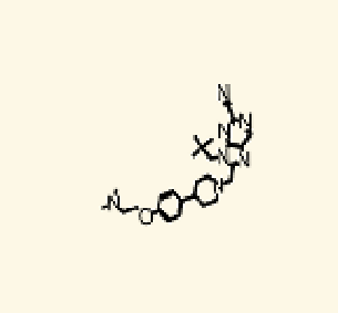 CN(C)CCOc1ccc(C2CCN(Cc3nc4cnc(C#N)nc4n3CC(C)(C)C)CC2)cc1